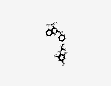 CN(C)c1nc(N[C@H]2CC[C@@H](CNC(=O)Nc3c(Br)cc(Br)cc3Br)CC2)nc2c1CCCC2